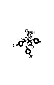 Cc1ccc(S[C@@]2(C(=O)N3CCNC(=O)C3)CC(=O)N(Cc3ccc(Br)cc3)[C@H]2c2c[nH]c3cc(Cl)ccc23)cc1